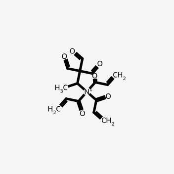 C=CC(=O)[N+](C(=O)C=C)(C(=O)C=C)C(C)C(C=O)(C=O)C=O